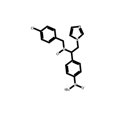 CC(C)(C)[S+]([O-])c1ccc(C(Cn2ccnc2)[S+]([O-])Cc2ccc(Cl)cc2)cc1